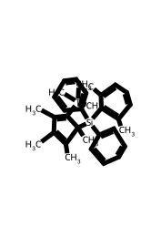 CC1=C(C)C(C)([Si](c2ccccc2)(c2ccccc2)c2c(C)cccc2C)[C]([Ti]([CH3])([CH3])[CH3])=C1C